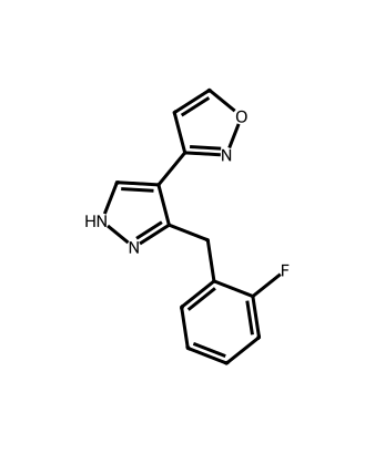 Fc1ccccc1Cc1n[nH]cc1-c1ccon1